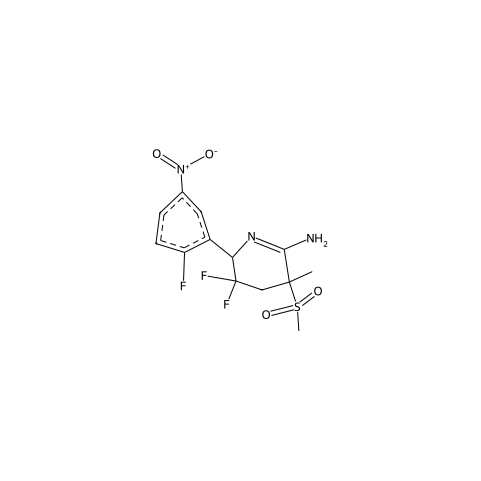 CC1(S(C)(=O)=O)CC(F)(F)C(c2cc([N+](=O)[O-])ccc2F)N=C1N